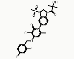 Cc1cc(OCc2ccc(F)cc2F)c(Cl)c(=O)n1-c1ccc2c(c1)N(S(C)(=O)=O)CN2C(=O)C(C)(C)O